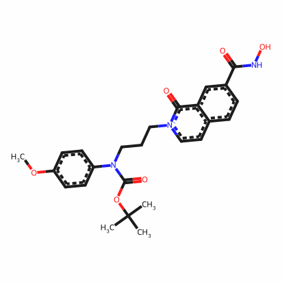 COc1ccc(N(CCCn2ccc3ccc(C(=O)NO)cc3c2=O)C(=O)OC(C)(C)C)cc1